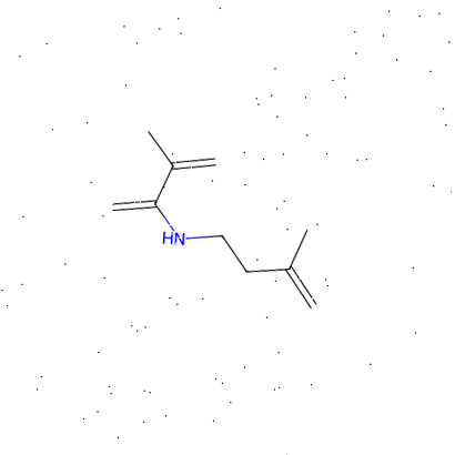 C=C(C)CCNC(=C)C(=C)C